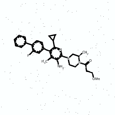 COCCC(=O)N1CCN(c2nc(C3CC3)c(-c3ccc(-c4ccccc4)c(F)c3)c(C)c2N)C[C@H]1C